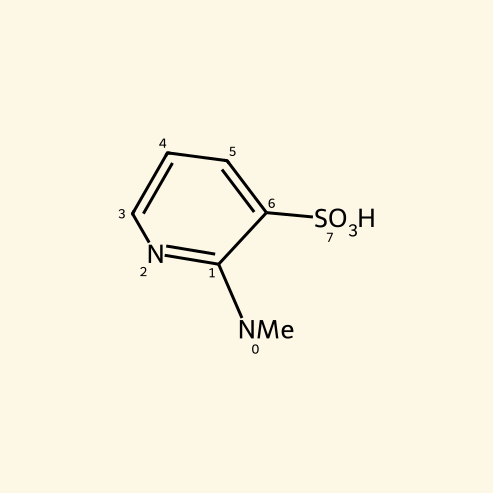 CNc1ncccc1S(=O)(=O)O